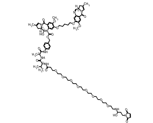 COc1cc2c(cc1OCCCCCOc1cc3c(cc1OC)C(=O)N1C=C(C)C[C@H]1[C@H](O)N3C(=O)OCc1ccc(NC(=O)[C@H](C)NC(=O)[C@@H](NC(=O)CCOCCOCCOCCOCCOCCOCCOCCOCCNC(O)CCN3C(=O)C=CC3=O)C(C)C)cc1)N=C[C@@H]1CC(C)=CN1C2=O